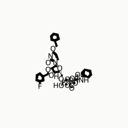 O=c1nc(OCc2ccccc2)ccn1[C@@H]1O[C@H](COP(=O)(O)OP(=O)(O)OP(=O)(O)Nc2ccccc2)[C@@H]2OC(c3cccc(F)c3)OC21